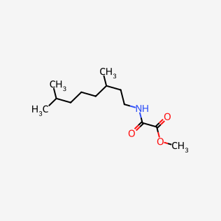 COC(=O)C(=O)NCCC(C)CCCC(C)C